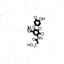 CCC.O=C(O)CC(=O)Nc1cc(Cl)c(Oc2ccc(O)c(Cl)c2)c(Cl)c1Cl